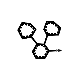 [NH]c1cccc(-c2ccccc2)c1-c1ccccc1